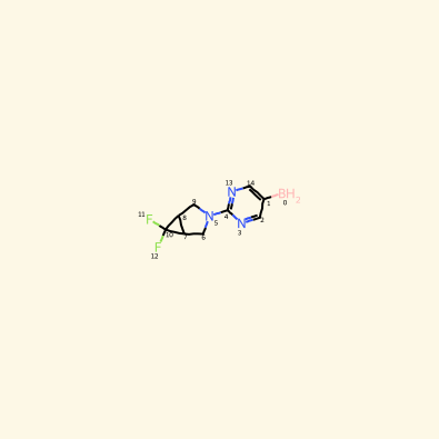 Bc1cnc(N2CC3C(C2)C3(F)F)nc1